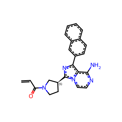 C=CC(=O)N1CC[C@H](c2nc(-c3ccc4ccccc4c3)c3c(N)nccn23)C1